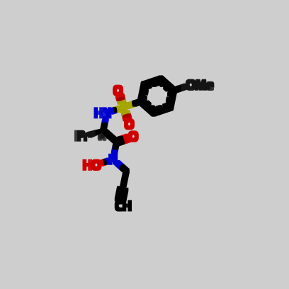 C#CCN(O)C(=O)[C@H](NS(=O)(=O)c1ccc(OC)cc1)C(C)C